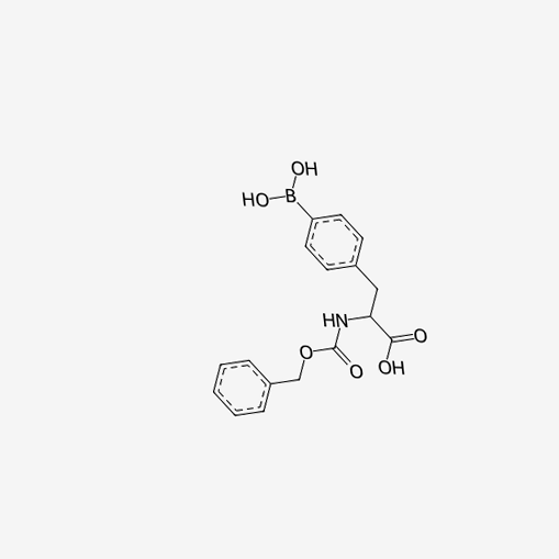 O=C(NC(Cc1ccc(B(O)O)cc1)C(=O)O)OCc1ccccc1